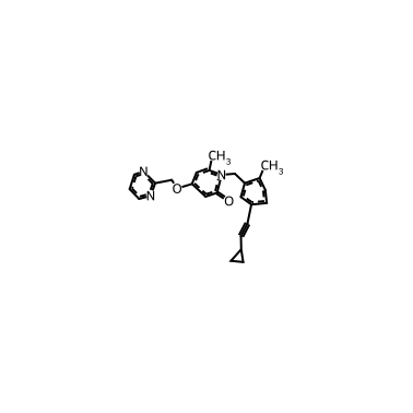 Cc1ccc(C#CC2CC2)cc1Cn1c(C)cc(OCc2ncccn2)cc1=O